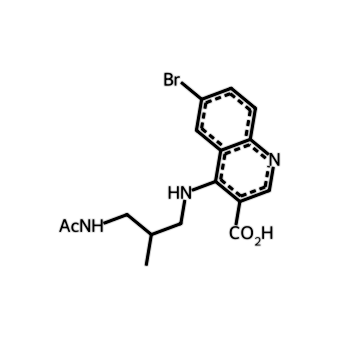 CC(=O)NCC(C)CNc1c(C(=O)O)cnc2ccc(Br)cc12